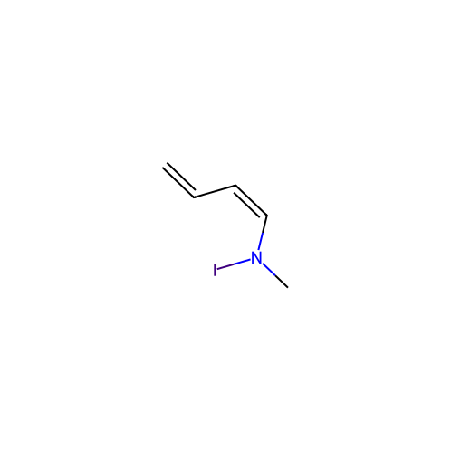 C=C/C=C\N(C)I